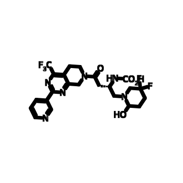 O=C(O)N[C@@H](CC(=O)N1CCc2c(nc(-c3cccnc3)nc2C(F)(F)F)C1)CN1CC(F)(F)CCC1O